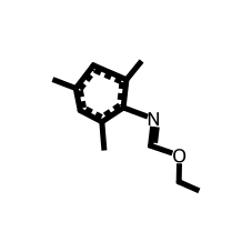 CCOC=Nc1c(C)cc(C)cc1C